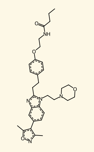 CCCC(=O)NCCOc1ccc(CCc2nc3cc(-c4c(C)noc4C)ccc3n2CCN2CCOCC2)cc1